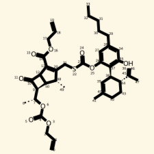 C=CCOC(=O)O[C@H](C)[C@H]1C(=O)C2C(C(=O)OCC=C)=C(CSC(=O)Oc3cc(CCCCC)cc(O)c3[C@@H]3C=C(C)CC[C@H]3C(=C)C)[C@H](C)C21